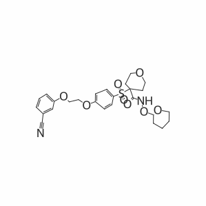 N#Cc1cccc(OCCOc2ccc(S(=O)(=O)C3(C(=O)NOC4CCCCO4)CCOCC3)cc2)c1